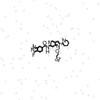 CN1CCCC[C@@H]1c1cc2cnc(NC(=O)c3ccc4c(F)nn(C)c4c3)cc2n1COCC[Si](C)(C)C